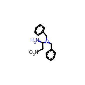 NC(C[N+](=O)[O-])N(Cc1ccccc1)Cc1ccccc1